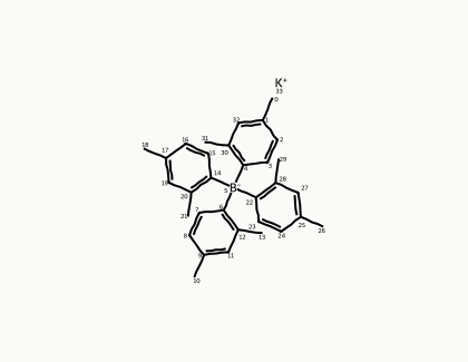 Cc1ccc([B-](c2ccc(C)cc2C)(c2ccc(C)cc2C)c2ccc(C)cc2C)c(C)c1.[K+]